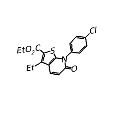 CCOC(=O)c1sc2c(ccc(=O)n2-c2ccc(Cl)cc2)c1CC